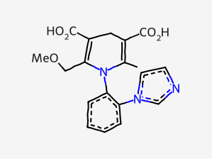 COCC1=C(C(=O)O)CC(C(=O)O)=C(C)N1c1ccccc1-n1ccnc1